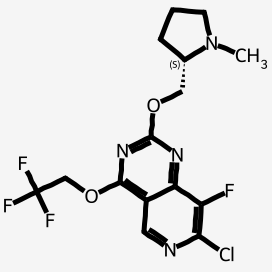 CN1CCC[C@H]1COc1nc(OCC(F)(F)F)c2cnc(Cl)c(F)c2n1